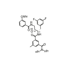 CCCN(CCC)C(=O)c1cc(C)cc(C(=O)N[C@@H](Cc2cc(F)cc(F)c2)[C@H](O)CNC(=O)c2cccc(OC)c2)c1